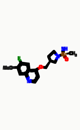 COc1cc2nccc(OC[C@H]3CCN([S@@](C)(=N)=O)C3)c2cc1F